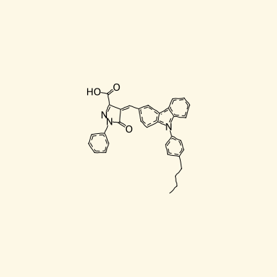 CCCCc1ccc(-n2c3ccccc3c3cc(/C=C4\C(=O)N(c5ccccc5)N=C4C(=O)O)ccc32)cc1